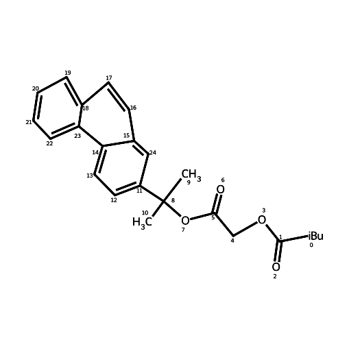 CCC(C)C(=O)OCC(=O)OC(C)(C)c1ccc2c(ccc3ccccc32)c1